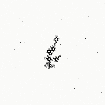 CC(CO)(NCc1cc(Cl)c(O[C@H]2CCc3c(-c4cccc(OCCCN5CCC(O)CC5)c4F)cccc32)cc1OCc1cncc(C#N)c1)C(=O)O